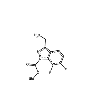 BCc1nn(C(=O)OC(C)(C)C)c2c(F)c(F)ccc12